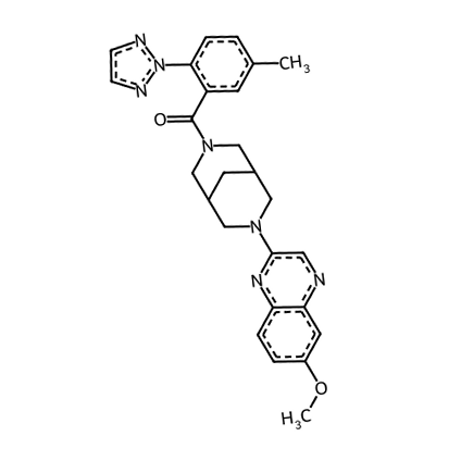 COc1ccc2nc(N3CC4CC(CN(C(=O)c5cc(C)ccc5-n5nccn5)C4)C3)cnc2c1